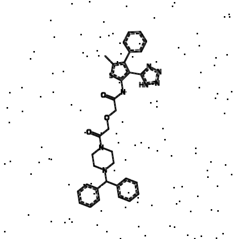 Cc1sc([N]C(=O)COCC(=O)N2CCN(C(c3ccccc3)c3ccccc3)CC2)c(-c2nnn[nH]2)c1-c1ccccc1